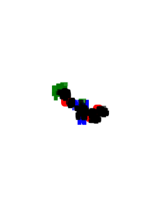 CC(C)(C)[Si](C)(C)OCCC(O[Si](C)(C)C(C)(C)C)c1cc(F)c(CNC2CC(Oc3ccc(F)c(C(F)(F)F)c3)C2)c2ccncc12